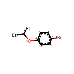 CCC(CC)Oc1ccc(Br)cc1